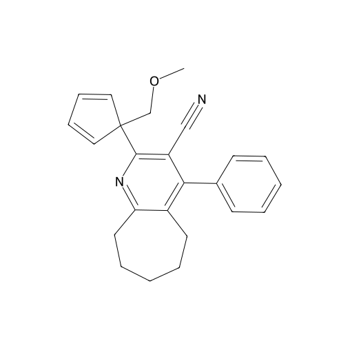 COCC1(c2nc3c(c(-c4ccccc4)c2C#N)CCCCC3)C=CC=C1